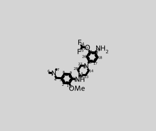 COc1cc(CN(C)C)ccc1NN1CCN(c2ccc(N)c(OC(F)F)c2)CC1